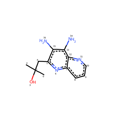 CC(C)(O)Cc1nc2cccnc2c(N)c1N